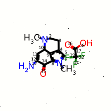 CN1CCc2cn(C)c3c2C1C=C(N)C3=O.O=C(O)C(F)(F)F